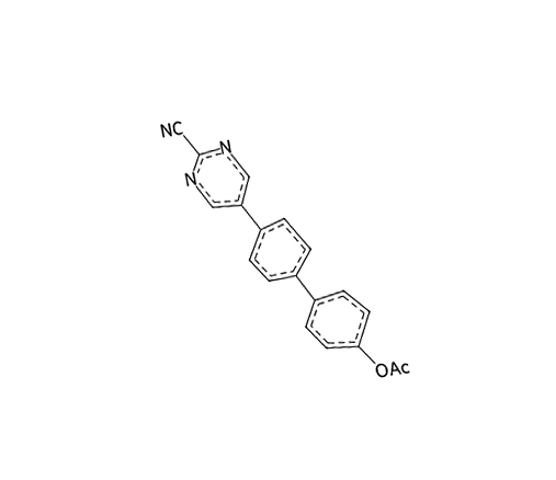 CC(=O)Oc1ccc(-c2ccc(-c3cnc(C#N)nc3)cc2)cc1